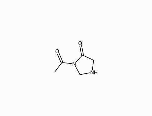 CC(=O)N1CNCC1=O